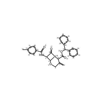 C=C1COC2C(NC(=O)c3ccc(C)cc3)C(=O)N2C1C(=O)OC(c1ccccc1)c1ccccc1